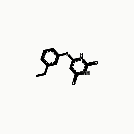 CCc1cccc(Sc2cc(=O)[nH]c(=O)[nH]2)c1